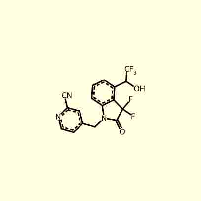 N#Cc1cc(CN2C(=O)C(F)(F)c3c(C(O)C(F)(F)F)cccc32)ccn1